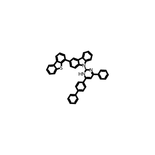 C1=C(c2ccc(-c3ccccc3)cc2)N[C@@H](n2c3ccccc3c3cc(-c4cccc5c4sc4ccccc45)ccc32)N=C1c1ccccc1